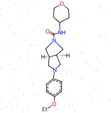 CCOc1ccc(N2C[C@H]3CN(C(=O)NC4CCOCC4)C[C@H]3C2)cc1